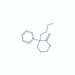 CCCCC1(c2ccccc2)CCCOC1=O